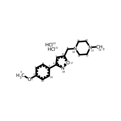 COc1ccc(-c2cc(CN3CCN(C)CC3)on2)cc1.Cl.Cl